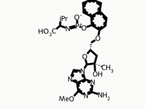 COc1nc(N)nc2c1ncn2C1O[C@H](COc2ccc3ccccc3c2O/[P+]([O-])=N/C(C(=O)O)C(C)C)C[C@@]1(C)O